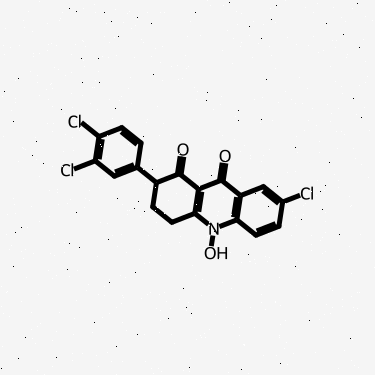 O=C1c2c(n(O)c3ccc(Cl)cc3c2=O)CCC1c1ccc(Cl)c(Cl)c1